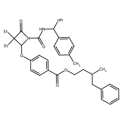 CCCC(NC(=O)N1C(=O)C(CC)(CC)C1Oc1ccc(C(=O)OCCN(C)Cc2ccccc2)cc1)c1ccc(C)cc1